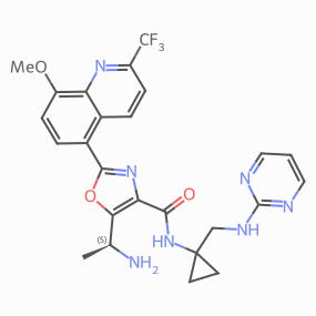 COc1ccc(-c2nc(C(=O)NC3(CNc4ncccn4)CC3)c([C@H](C)N)o2)c2ccc(C(F)(F)F)nc12